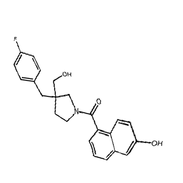 O=C(c1cccc2cc(O)ccc12)N1CCC(CO)(Cc2ccc(F)cc2)C1